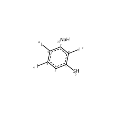 Sc1cc(I)c(I)cc1I.[NaH]